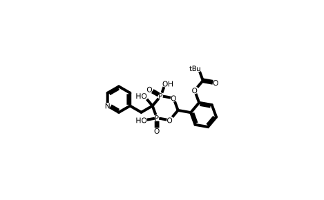 CC(C)(C)C(=O)Oc1ccccc1C1OP(=O)(O)C(O)(Cc2cccnc2)P(=O)(O)O1